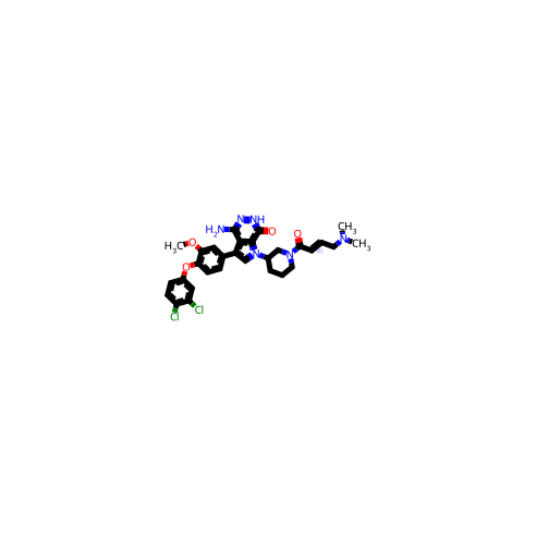 COc1cc(-c2cn(C3CCCN(C(=O)/C=C/CN(C)C)C3)c3c(=O)[nH]nc(N)c23)ccc1Oc1ccc(Cl)c(Cl)c1